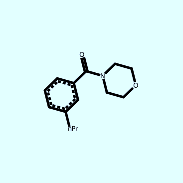 CCCc1cccc(C(=O)N2CCOCC2)c1